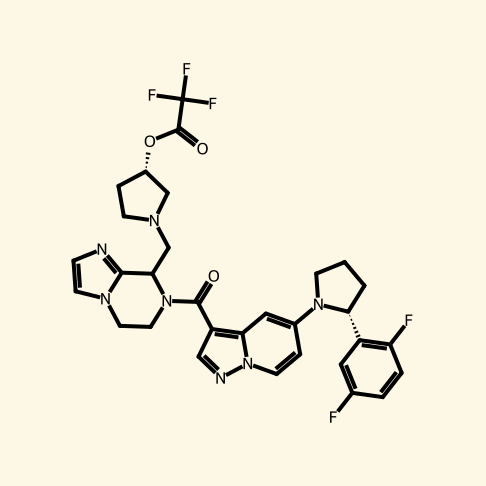 O=C(c1cnn2ccc(N3CCC[C@@H]3c3cc(F)ccc3F)cc12)N1CCn2ccnc2C1CN1CC[C@H](OC(=O)C(F)(F)F)C1